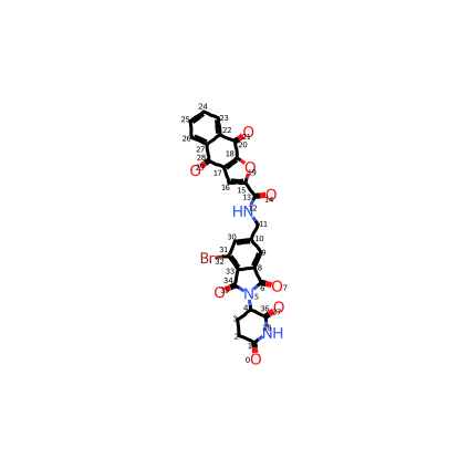 O=C1CCC(N2C(=O)c3cc(CNC(=O)c4cc5c(o4)C(=O)c4ccccc4C5=O)cc(Br)c3C2=O)C(=O)N1